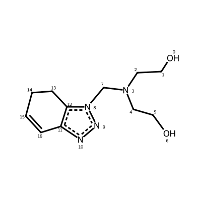 OCCN(CCO)Cn1nnc2c1CCC=C2